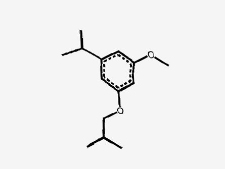 COc1cc(OCC(C)C)cc(C(C)C)c1